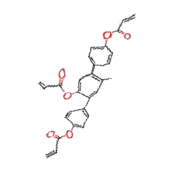 C=CC(=O)Oc1ccc(-c2cc(OC(=O)C=C)c(-c3ccc(OC(=O)C=C)cc3)cc2C)cc1